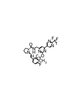 CC(C)Oc1nc(CNC(=O)[C@@H]2CCCN2CCc2ccc(F)cc2)cc(-c2cnc(C(F)(F)I)nc2)n1